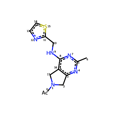 CC(=O)N1Cc2nc(C)nc(NCc3nccs3)c2C1